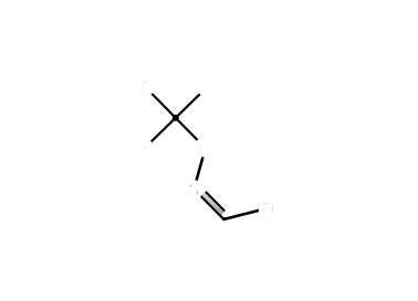 CC/C=N\OC(F)(F)F